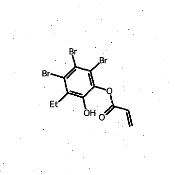 C=CC(=O)Oc1c(O)c(CC)c(Br)c(Br)c1Br